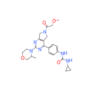 COCC(=O)N1Cc2nc(N3CCOCC3C)nc(-c3ccc(NC(=O)NC4CC4)cc3)c2C1